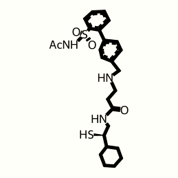 CC(=O)NS(=O)(=O)c1ccccc1-c1ccc(CNCCC(=O)NC[C@H](S)C2CCCCC2)cc1